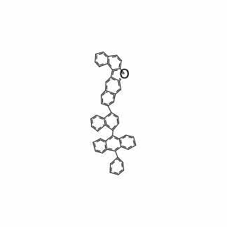 c1ccc(-c2c3ccccc3c(-c3ccc(-c4ccc5cc6c(cc5c4)oc4ccc5ccccc5c46)c4ccccc34)c3ccccc23)cc1